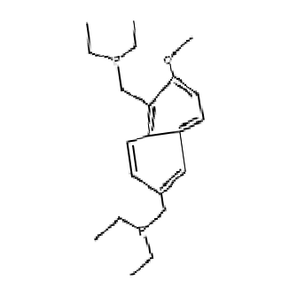 CCP(CC)Cc1ccc2c(CP(CC)CC)c(OC)ccc2c1